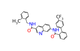 Cc1ccccc1CNC(=O)c1cnc2cc(NC(=O)c3ccccc3-c3ccc(C(F)(F)F)cc3)ccc2c1